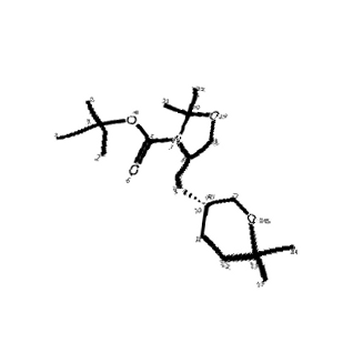 CC(C)(C)OC(=O)N1C(C[C@H]2CCC(C)(C)OC2)COC1(C)C